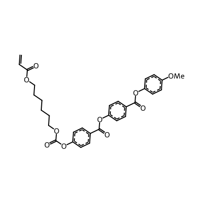 C=CC(=O)OCCCCCCOC(=O)Oc1ccc(C(=O)Oc2ccc(C(=O)Oc3ccc(OC)cc3)cc2)cc1